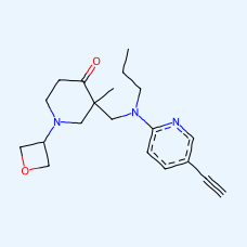 C#Cc1ccc(N(CCC)CC2(C)CN(C3COC3)CCC2=O)nc1